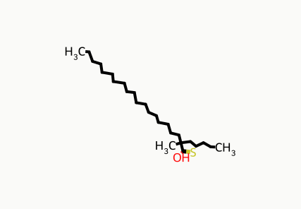 CCCCCCCCCCCCCCCCCCC(C)(CCCCC)C(O)=S